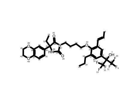 CC=Cc1cc(C(O)(C(F)(F)F)C(F)(F)F)cc(CCC)c1OCCCCN1C(=O)NC(CC)(c2ccc3c(c2)OCCO3)C1=O